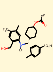 CCCC(=O)O[C@H]1CC[C@H](CN(CC)c2cc(C)c(C(F)(F)F)cc2CO)CC1.Cc1ccc(S(=O)(=O)O)cc1